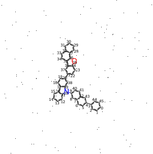 c1ccc(-c2ccc3cc(-n4c5ccccc5c5ccc(-c6ccc7oc8c9ccccc9ccc8c7c6)cc54)ccc3c2)cc1